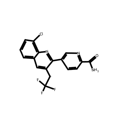 NC(=O)c1ccc(-c2nc3c(Cl)cccc3cc2[CH]C(F)(F)F)cn1